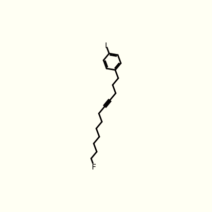 FCCCCCCCC#CCCCc1ccc(I)cc1